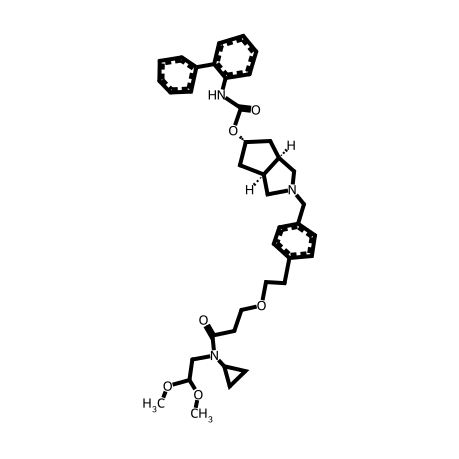 COC(CN(C(=O)CCOCCc1ccc(CN2C[C@H]3C[C@H](OC(=O)Nc4ccccc4-c4ccccc4)C[C@H]3C2)cc1)C1CC1)OC